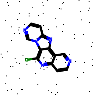 Clc1nc2ccncc2c2nc3ccncn3c12